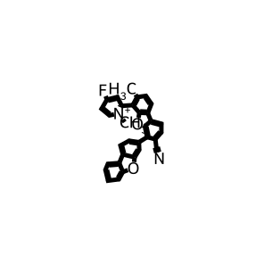 Cc1ccc2c(oc3c(-c4ccc5c(c4)oc4ccccc45)c(C#N)ccc32)c1-c1cc(F)cc[n+]1C